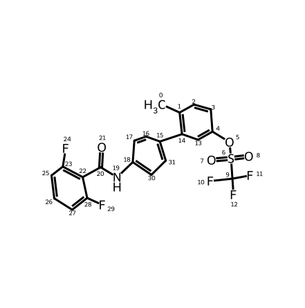 Cc1ccc(OS(=O)(=O)C(F)(F)F)cc1-c1ccc(NC(=O)c2c(F)cccc2F)cc1